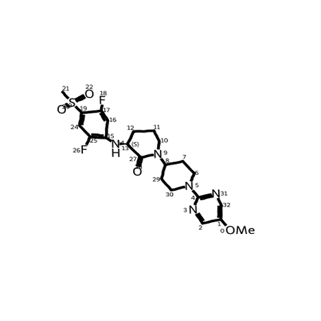 COc1cnc(N2CCC(N3CCC[C@H](Nc4cc(F)c(S(C)(=O)=O)cc4F)C3=O)CC2)nc1